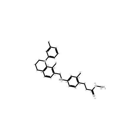 Cc1cccc(N2CCCc3ccc(CNc4ccc(CCC(=O)ON)c(C)c4)c(C)c32)c1